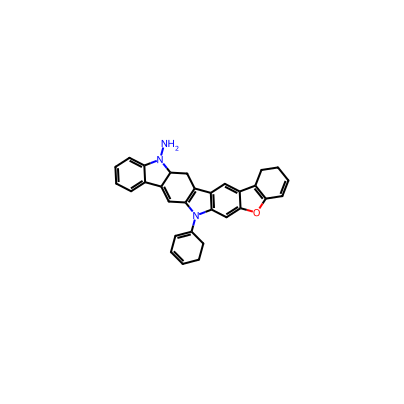 NN1c2ccccc2C2=Cc3c(c4cc5c6c(oc5cc4n3C3=CC=CCC3)C=CCC6)CC21